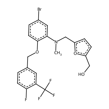 CN(Cc1ccc(CO)o1)c1cc(Br)ccc1OCc1ccc(F)c(C(F)(F)F)c1